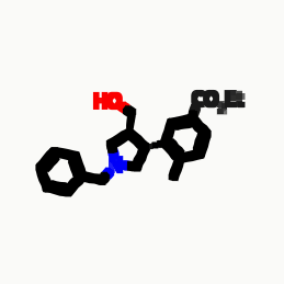 CCOC(=O)c1ccc(C)c([C@@H]2CN(Cc3ccccc3)C[C@H]2CO)c1